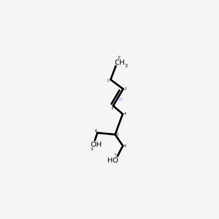 CC/C=C/CC(CO)CO